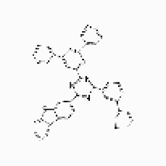 c1ccc(-c2cccc(-c3nc(-c4cc(-c5ccccc5)cc(-c5ccccc5)c4)nc(-c4ccc5c(c4)sc4ccccc45)n3)c2)cc1